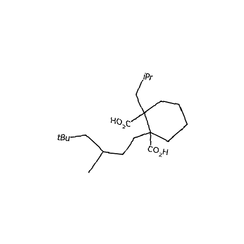 CC(C)CC1(C(=O)O)CCCCC1(CCC(C)CC(C)(C)C)C(=O)O